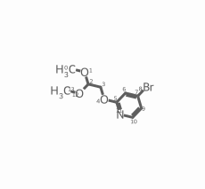 COC(COc1cc(Br)ccn1)OC